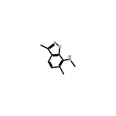 CNc1c(C)ccc2c(C)noc12